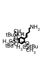 CC(C)(C)[Si](C)(C)Oc1cc(O[Si](C)(C)C(C)(C)C)c(O[Si](C)(C)C(C)(C)C)cc1C=CCCN